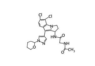 CC(=O)NCC(=O)NC1CCn2c1c(-c1cnn(C3CCCCO3)c1)c1ccc(Cl)c(Cl)c12